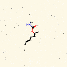 C/C=C/CCC(C)OC(=O)NC